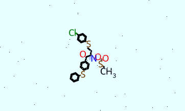 CCSC(=O)O/N=C(\CCSc1ccc(Cl)cc1)C(=O)c1ccc(Sc2ccccc2)cc1